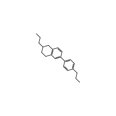 CCCc1ccc(-c2ccc3c(c2)CCC(CCC)C3)cc1